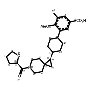 COc1c(F)cc(C(=O)O)cc1C1CCC([C@H]2CC23CCN(C(=O)[C@H]2CCCO2)CC3)CC1